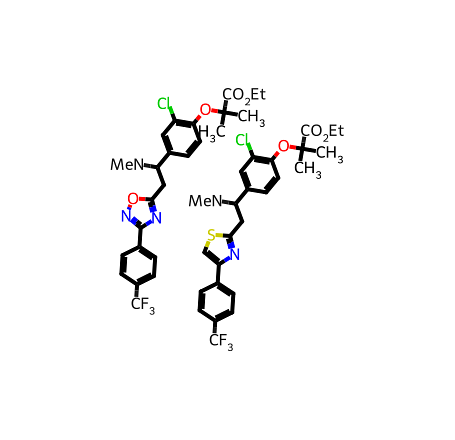 CCOC(=O)C(C)(C)Oc1ccc(C(Cc2nc(-c3ccc(C(F)(F)F)cc3)cs2)NC)cc1Cl.CCOC(=O)C(C)(C)Oc1ccc(C(Cc2nc(-c3ccc(C(F)(F)F)cc3)no2)NC)cc1Cl